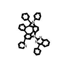 c1ccc(-c2nc(-n3c4cc(-c5ccccn5)cc5c4c4c6c(c(-c7ccccc7)n(-c7ccccc7)c6ccc43)-c3ccccc3-5)nc3ccccc23)cc1